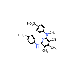 Cc1c(Nc2ccc(S(=O)(=O)O)cc2)nc(N(C)c2ccc(S(=O)(=O)O)cc2)c(C#N)c1C